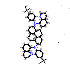 CC(C)(C)c1ccc(N(c2ccc3ccc4c(N(c5ccc(C(C)(C)C)cc5)c5cccc6cccnc56)ccc5ccc2c3c54)c2cccc3cccnc23)cc1